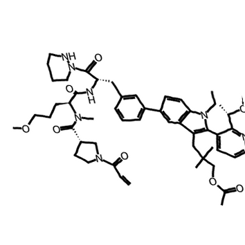 C=CC(=O)N1CC[C@H](C(=O)N(C)[C@@H](CCCOC)C(=O)N[C@@H](Cc2cccc(-c3ccc4c(c3)c(CC(C)(C)COC(C)=O)c(-c3cccnc3[C@H](C)OC)n4CC)c2)C(=O)N2CCCCN2)C1